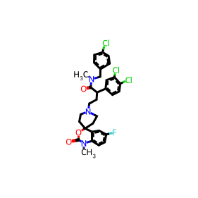 CN(Cc1ccc(Cl)cc1)C(=O)C(CCN1CCC2(CC1)OC(=O)N(C)c1ccc(F)cc12)c1ccc(Cl)c(Cl)c1